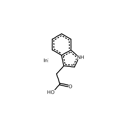 O=C(O)Cc1c[nH]c2ccccc12.[In]